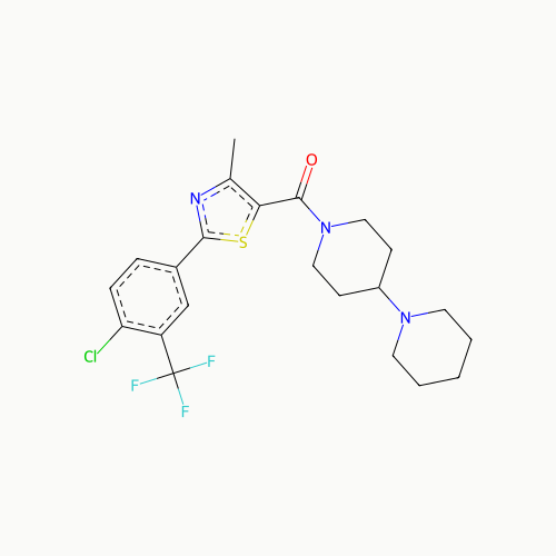 Cc1nc(-c2ccc(Cl)c(C(F)(F)F)c2)sc1C(=O)N1CCC(N2CCCCC2)CC1